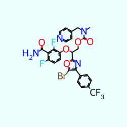 CN(Cc1ccncc1)C(=O)OCC(Oc1ccc(F)c(C(N)=O)c1F)c1nc(-c2ccc(C(F)(F)F)cc2)c(Br)o1